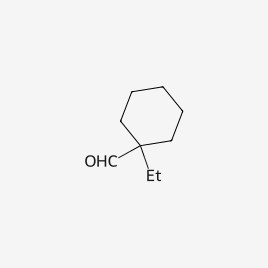 CCC1(C=O)CCCCC1